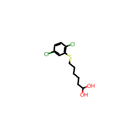 OC(O)CCCCCSc1cc(Cl)ccc1Cl